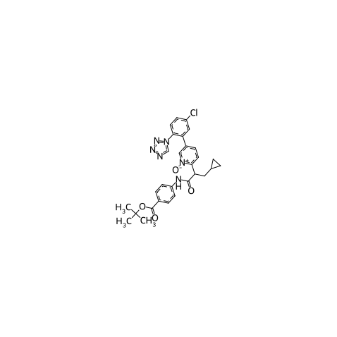 CC(C)(C)OC(=O)c1ccc(NC(=O)C(CC2CC2)c2ccc(-c3cc(Cl)ccc3-n3cnnn3)c[n+]2[O-])cc1